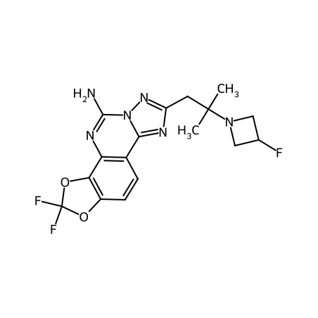 CC(C)(Cc1nc2c3ccc4c(c3nc(N)n2n1)OC(F)(F)O4)N1CC(F)C1